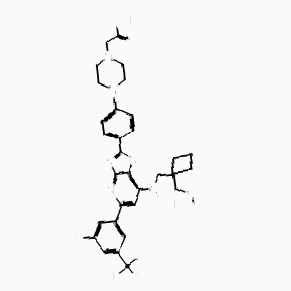 COCC1(CN(C)c2cc(-c3cc(F)cc(C(F)(F)F)c3)nc3nc(-c4ccc(N5CCN(CC(=O)O)CC5)cc4)[nH]c23)CCC1